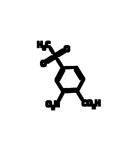 CS(=O)(=O)c1ccc(C(=O)O)c([N+](=O)[O-])c1